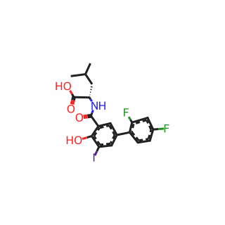 CC(C)C[C@H](NC(=O)c1cc(-c2ccc(F)cc2F)cc(I)c1O)C(=O)O